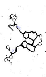 CCOC(=O)/C=C/C1=CC2C=CC3OCOc4ccc5cc(/C=C/C(=O)OCC)ccc5c4C3C2C=C1